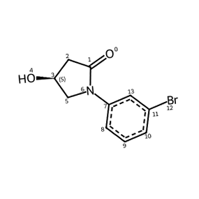 O=C1C[C@H](O)CN1c1cccc(Br)c1